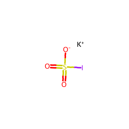 O=S(=O)([O-])I.[K+]